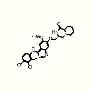 COc1cc2c(Nc3ccc(Cl)c(Cl)c3F)ncnc2cc1OC[C@@H]1CN2CCCCC2C(=O)N1